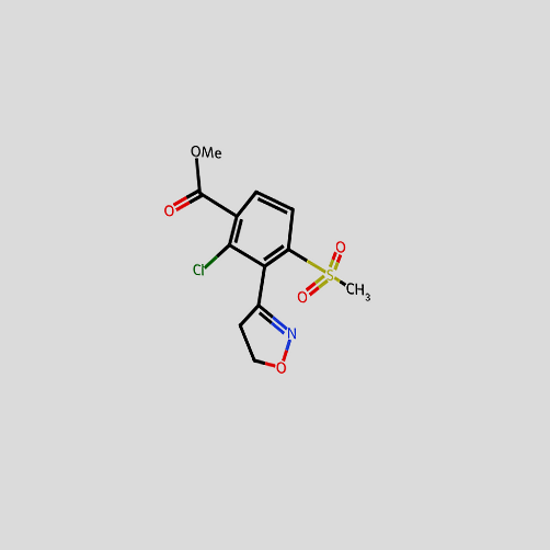 COC(=O)c1ccc(S(C)(=O)=O)c(C2=NOCC2)c1Cl